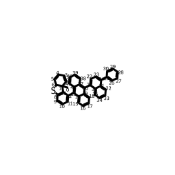 CC12C=CC=CC1Sc1cccc(-c3c4ccccc4c(-c4ccc(-c5ccccc5)c5ccccc45)c4ccccc34)c12